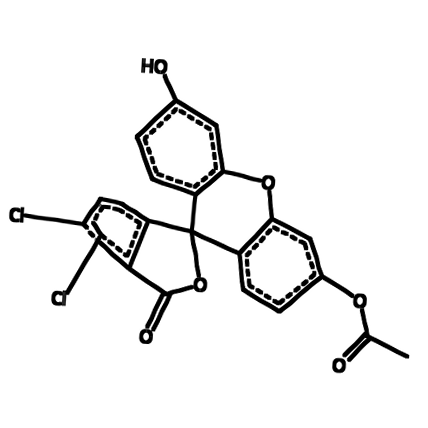 CC(=O)Oc1ccc2c(c1)Oc1cc(O)ccc1C21OC(=O)c2c1ccc(Cl)c2Cl